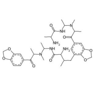 CC(N)C(=O)NC(C)N(C)C(C)C(=O)c1cc(CC(C)C(N)C(=O)NC(C)N(C)C(C)C(=O)c2ccc3c(c2)OCO3)c2c(c1)OCO2